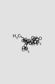 CCCCC(=O)OC(=O)O[C@]1(C(=O)COC(=O)OC)CC[C@H]2[C@@H]3C[C@H](F)C4=CC(=O)C=C[C@]4(C)[C@H]3C(O)C[C@@]21C